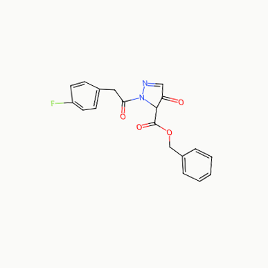 O=C1C=NN(C(=O)Cc2ccc(F)cc2)C1C(=O)OCc1ccccc1